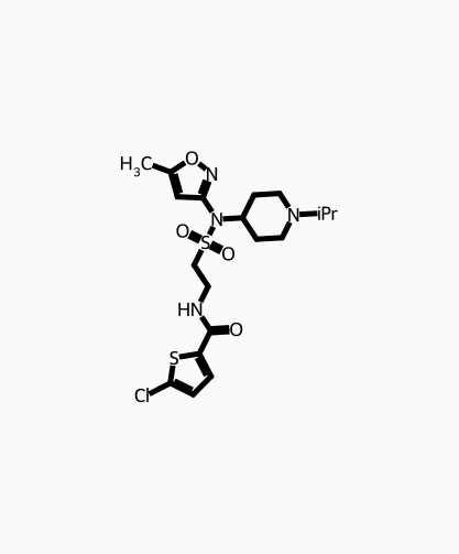 Cc1cc(N(C2CCN(C(C)C)CC2)S(=O)(=O)CCNC(=O)c2ccc(Cl)s2)no1